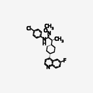 CO/N=C(\Nc1ccc(Cl)cc1)[C@H](C)[C@H]1CC[C@@H](c2ccnc3ccc(F)cc32)CC1